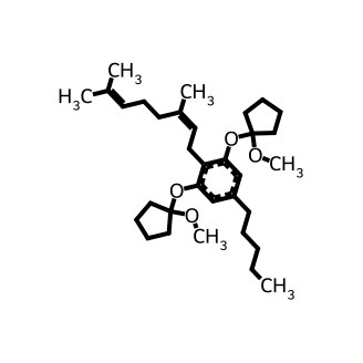 CCCCCc1cc(OC2(OC)CCCC2)c(CC=C(C)CCC=C(C)C)c(OC2(OC)CCCC2)c1